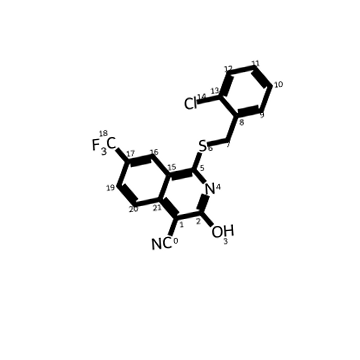 N#Cc1c(O)nc(SCc2ccccc2Cl)c2cc(C(F)(F)F)ccc12